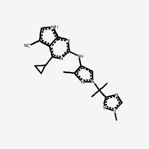 Cc1nn(C(C)(C)c2ncn(C)n2)cc1Nc1nc(C2CC2)c2c(C#N)c[nH]c2n1